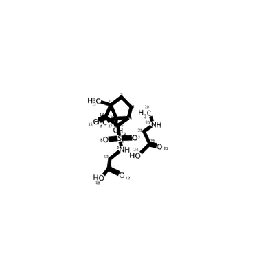 CC12CCC(C(S(=O)(=O)NCC(=O)O)C1=O)C2(C)C.CNCC(=O)O